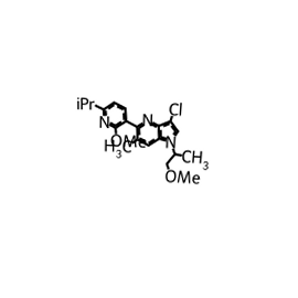 COCC(C)n1cc(Cl)c2nc(-c3ccc(C(C)C)nc3OC)c(C)cc21